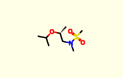 CC(C)O[C@H](C)CN(C)S(C)(=O)=O